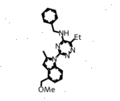 CCc1nnc(-n2c(C)cc3c(COC)cccc32)nc1NCc1ccccc1